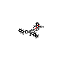 CCCCC(O)N1CCC(C[C@H](NC(=O)[C@@H](Cc2cc(C)c3[nH]ncc3c2)NC(=O)N2CCC(c3cc4ccccc4[nH]c3=O)CC2)C(=O)N2CCN(c3ccncc3)CC2)CC1